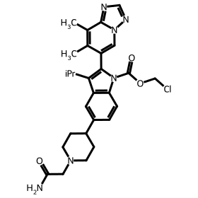 Cc1c(-c2c(C(C)C)c3cc(C4CCN(CC(N)=O)CC4)ccc3n2C(=O)OCCl)cn2ncnc2c1C